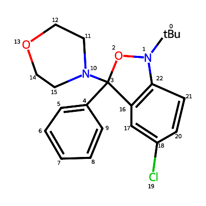 CC(C)(C)N1OC(c2ccccc2)(N2CCOCC2)c2cc(Cl)ccc21